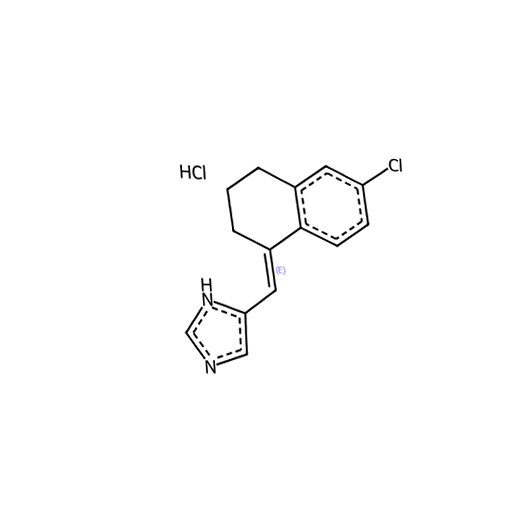 Cl.Clc1ccc2c(c1)CCC/C2=C\c1cnc[nH]1